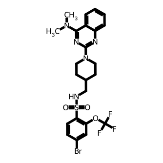 CN(C)c1nc(N2CCC(CNS(=O)(=O)c3ccc(Br)cc3OC(F)(F)F)CC2)nc2ccccc12